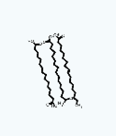 CC(C)CCCCCCCCCCCCCCC(=O)O.CCCCCCCC/C=C/CCCCCCCC(=O)O.O=C(O)CCCCCCCCCCCCCCC(=O)O